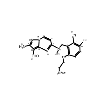 CCN(Cc1c(OCCNC)ccc(F)c1C#N)c1ccn2nc(N)c(C=O)c2n1